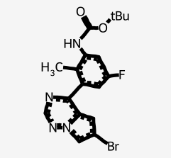 Cc1c(NC(=O)OC(C)(C)C)cc(F)cc1-c1ncnn2cc(Br)cc12